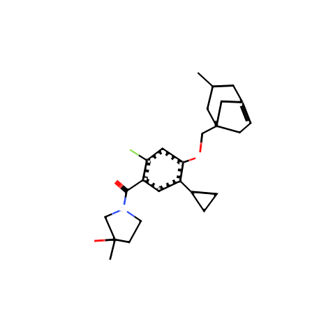 CC1CC2=CCC(COc3cc(F)c(C(=O)N4CCC(C)(O)C4)cc3C3CC3)(C2)C1